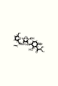 CC[C@@H](Nc1no[n+](O)c1Nc1ccc(Br)c(C(=O)N(C)C)c1O)c1ccc(C)o1